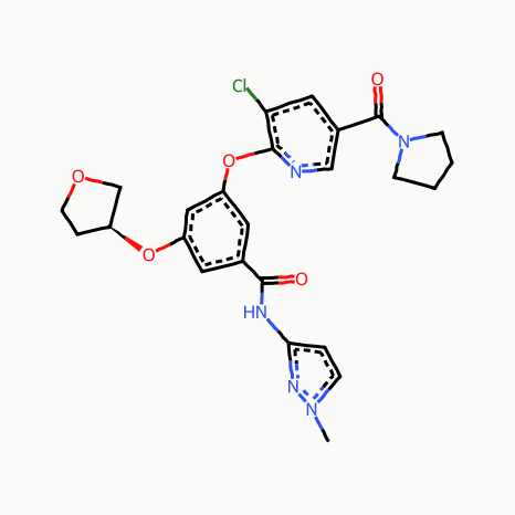 Cn1ccc(NC(=O)c2cc(Oc3ncc(C(=O)N4CCCC4)cc3Cl)cc(O[C@H]3CCOC3)c2)n1